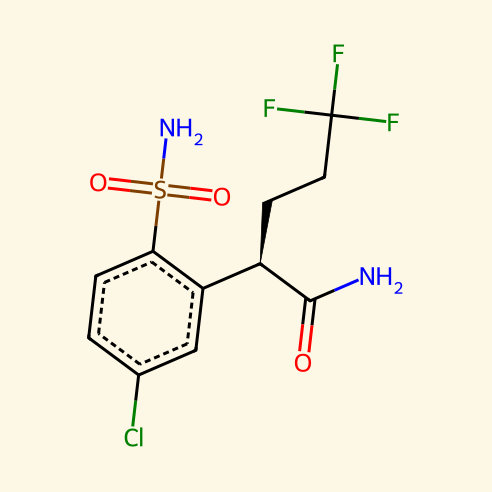 NC(=O)[C@H](CCC(F)(F)F)c1cc(Cl)ccc1S(N)(=O)=O